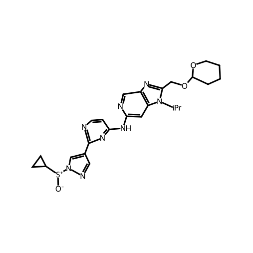 CC(C)n1c(COC2CCCCO2)nc2cnc(Nc3ccnc(-c4cnn([S+]([O-])C5CC5)c4)n3)cc21